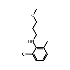 COCCCNc1c(C)cccc1Cl